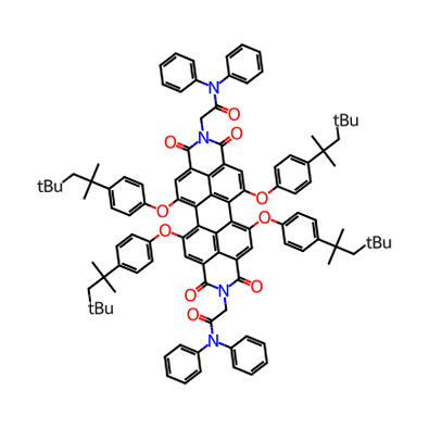 CC(C)(C)CC(C)(C)c1ccc(Oc2cc3c4c(cc(Oc5ccc(C(C)(C)CC(C)(C)C)cc5)c5c6c(Oc7ccc(C(C)(C)CC(C)(C)C)cc7)cc7c8c(cc(Oc9ccc(C(C)(C)CC(C)(C)C)cc9)c(c2c45)c86)C(=O)N(CC(=O)N(c2ccccc2)c2ccccc2)C7=O)C(=O)N(CC(=O)N(c2ccccc2)c2ccccc2)C3=O)cc1